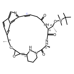 C[C@@H]1NC(=O)[C@H]([C@@H](C)O[Si](C)(C)C(C)(C)C)NC(=O)C/C=C/c2cc3cc(ccc3cn2)[C@@H](C)OC2OC2[C@@H]2CCCN(N2)C1=O